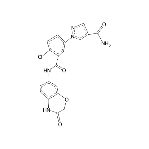 NC(=O)c1cnn(-c2ccc(Cl)c(C(=O)Nc3ccc4c(c3)OCC(=O)N4)c2)c1